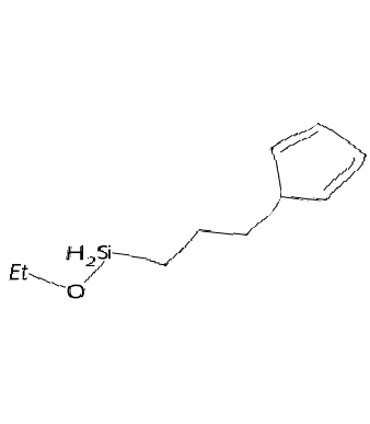 CCO[SiH2]CCCC1C=CC=C1